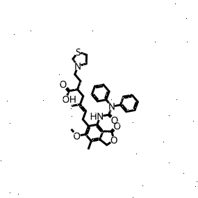 COc1c(C)c2c(c(NC(=O)N(c3ccccc3)c3ccccc3)c1C/C=C(\C)CC(CCN1CCSC1)C(=O)O)C(=O)OC2